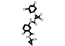 N#CC1(NC(=O)c2cc(NC(=O)[C@H]3[C@H](c4cc(Cl)cc(Cl)c4)C3(Cl)Cl)ccc2Cl)CC1